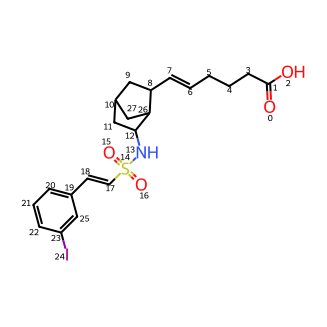 O=C(O)CCCC=CC1CC2CC(NS(=O)(=O)C=Cc3cccc(I)c3)C1C2